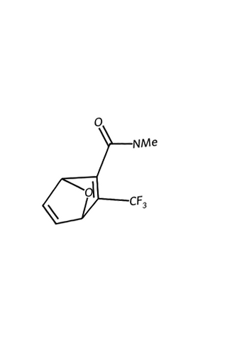 CNC(=O)C1=C(C(F)(F)F)C2C=CC1O2